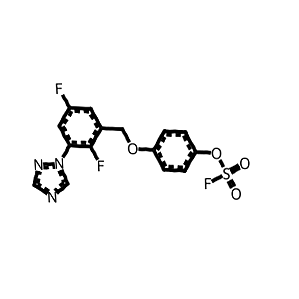 O=S(=O)(F)Oc1ccc(OCc2cc(F)cc(-n3cncn3)c2F)cc1